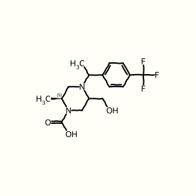 CC(c1ccc(C(F)(F)F)cc1)N1C[C@H](C)N(C(=O)O)CC1CO